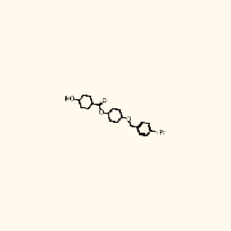 CCCc1ccc(COC2CCC(OC(=O)C3CCC(O)CC3)CC2)cc1